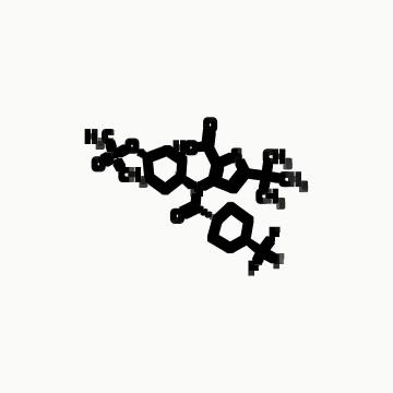 CC(C)(C)c1cc(N(C(=O)[C@H]2CC[C@H](C(F)(F)F)CC2)[C@H]2CC[C@H](OP(C)(C)=O)CC2)c(C(=O)O)s1